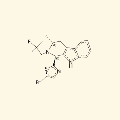 C[C@@H]1Cc2c([nH]c3ccccc23)[C@@H](c2ncc(Br)s2)N1CC(C)(C)F